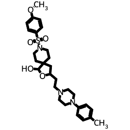 COc1ccc(S(=O)(=O)N2CCC3(CC2)CC(CCN2CCN(c4ccc(C)cc4)CC2)OC3O)cc1